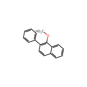 O=C(O)Oc1c(-c2ccccc2)ccc2ccccc12